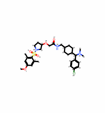 COc1cc(C)c(S(=O)(=O)N2CCC(OCC(=O)NCC3CCC(C(c4ccc(Cl)cc4)N(C)C)CC3)C2)c(C)c1